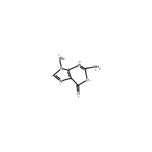 CC(C)(C)n1cnc2c(=O)oc(N)nc21